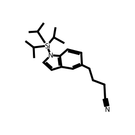 CC(C)[Si](C(C)C)(C(C)C)n1ccc2cc(CCCC#N)ccc21